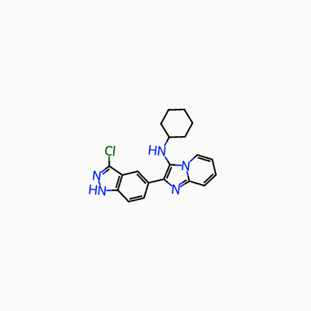 Clc1n[nH]c2ccc(-c3nc4ccccn4c3NC3CCCCC3)cc12